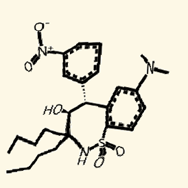 CCCCC1(CCCC)NS(=O)(=O)c2ccc(N(C)C)cc2[C@@H](c2cccc([N+](=O)[O-])c2)[C@@H]1O